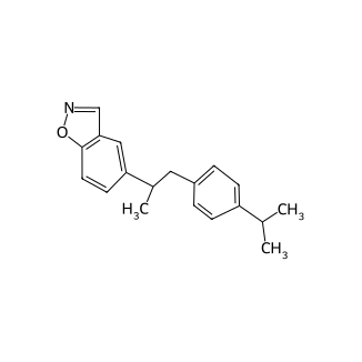 CC(C)c1ccc(CC(C)c2ccc3oncc3c2)cc1